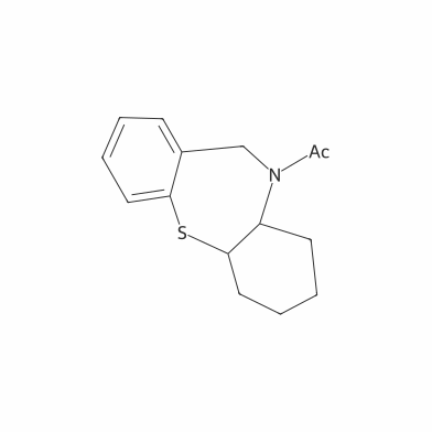 CC(=O)N1Cc2ccccc2SC2CCCCC21